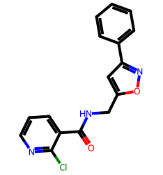 O=C(NCc1cc(-c2ccccc2)no1)c1cccnc1Cl